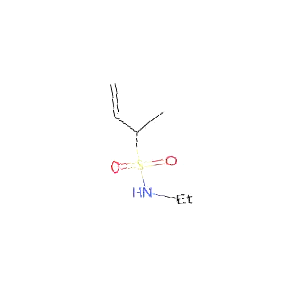 C=CC(C)S(=O)(=O)NCC